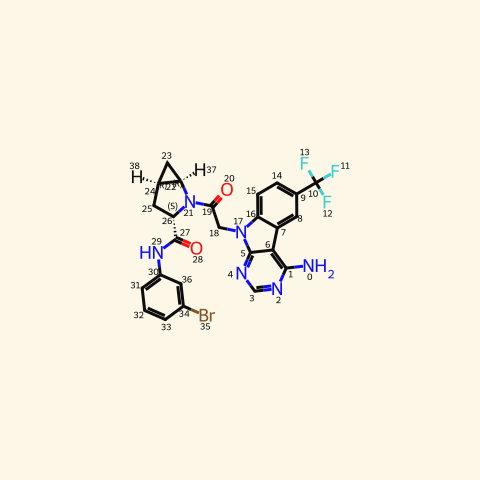 Nc1ncnc2c1c1cc(C(F)(F)F)ccc1n2CC(=O)N1[C@@H]2C[C@@H]2C[C@H]1C(=O)Nc1cccc(Br)c1